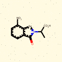 CC(C(=O)O)n1[se]c2c([N+](=O)[O-])cccc2c1=O